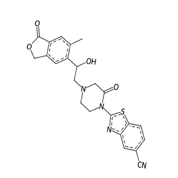 Cc1cc2c(cc1C(O)CN1CCN(c3nc4cc(C#N)ccc4s3)C(=O)C1)COC2=O